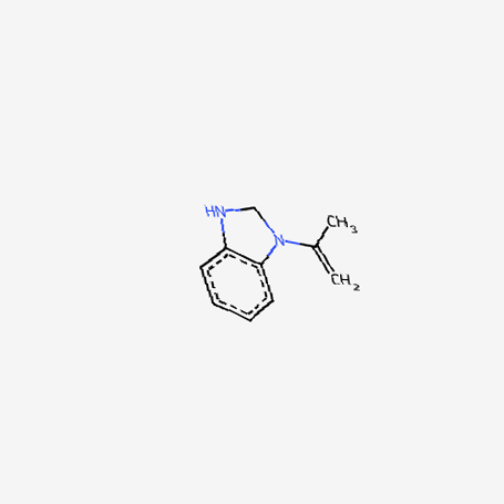 C=C(C)N1CNc2ccccc21